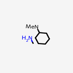 CN.CNC1CCCCC1